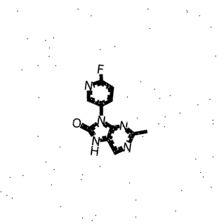 Cc1ncc2[nH]c(=O)n(-c3ccc(F)nc3)c2n1